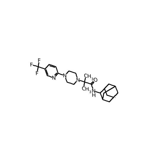 CC(C)(C(=O)NC1C2C[C]3CC(C2)CC1C3)N1CCN(c2ccc(C(F)(F)F)cn2)CC1